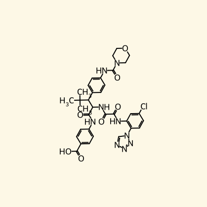 CC(C)(C)C(c1ccc(NC(=O)N2CCOCC2)cc1)C(NC(=O)C(=O)Nc1cc(Cl)ccc1-n1cnnn1)C(=O)Nc1ccc(C(=O)O)cc1